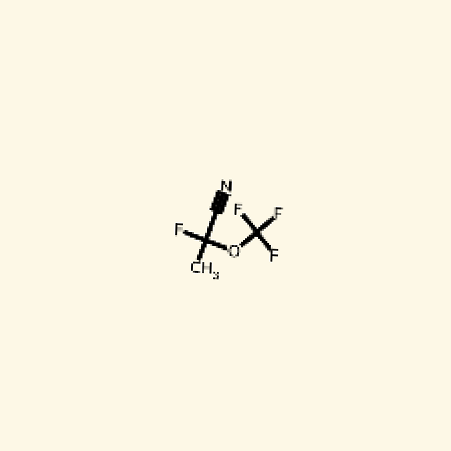 CC(F)(C#N)OC(F)(F)F